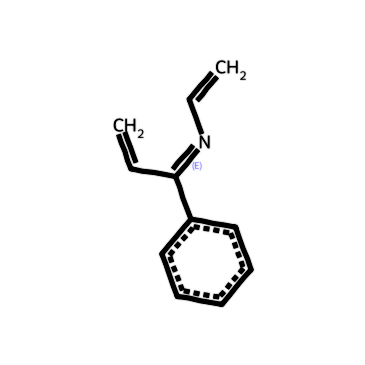 C=C/N=C(\C=C)c1ccccc1